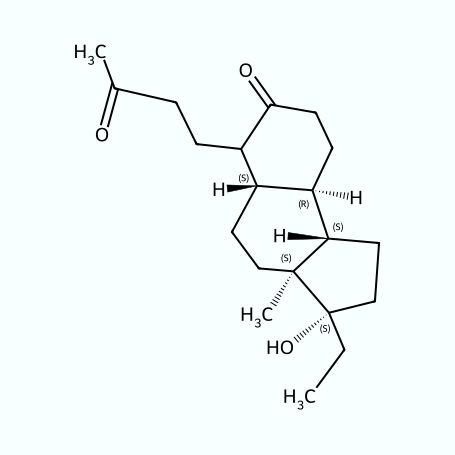 CC[C@]1(O)CC[C@H]2[C@@H]3CCC(=O)C(CCC(C)=O)[C@H]3CC[C@@]21C